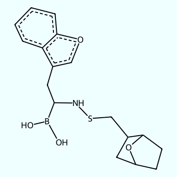 OB(O)C(Cc1coc2ccccc12)NSCC1CC2CCC1O2